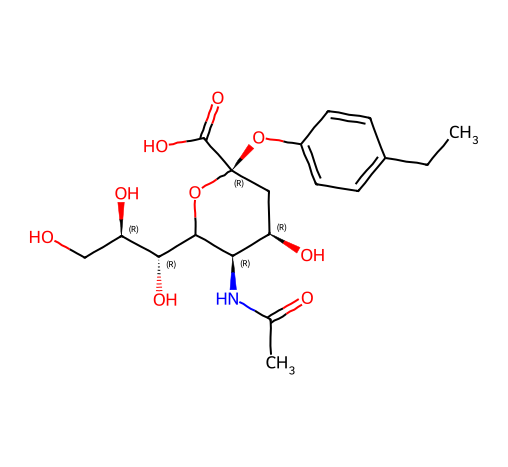 CCc1ccc(O[C@@]2(C(=O)O)C[C@@H](O)[C@@H](NC(C)=O)C([C@H](O)[C@H](O)CO)O2)cc1